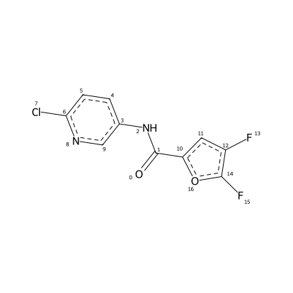 O=C(Nc1ccc(Cl)nc1)c1cc(F)c(F)o1